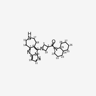 O=C(C1CN(c2c3c(nc4ccnn24)CCNCC3)C1)N1CCCC2CCCCC21